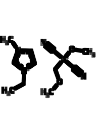 CC[n+]1ccn(C)c1.COC[B-](C#N)(C#N)OC